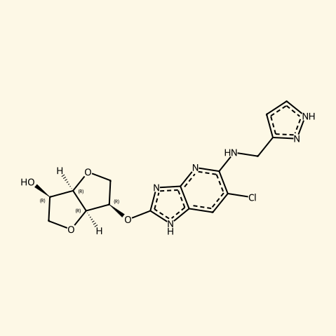 O[C@@H]1CO[C@H]2[C@@H]1OC[C@H]2Oc1nc2nc(NCc3cc[nH]n3)c(Cl)cc2[nH]1